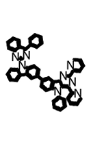 c1ccc(-c2nc(-n3c4ccccc4c4cc(-c5ccc6c(c5)c5nc(-c7ccccn7)nc(-c7ccccn7)c5n6-c5ccccc5)ccc43)nc3ccccc23)cc1